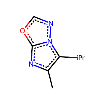 Cc1nc2ocnn2c1C(C)C